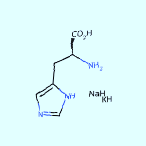 N[C@@H](Cc1cnc[nH]1)C(=O)O.[KH].[NaH]